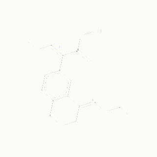 CCO/N=C1\COCc2ccc(/C(=C\OC)C(=O)OC)cc21